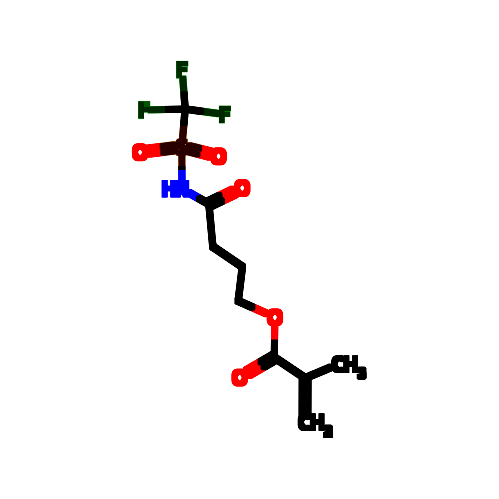 C=C(C)C(=O)OCCCC(=O)NS(=O)(=O)C(F)(F)F